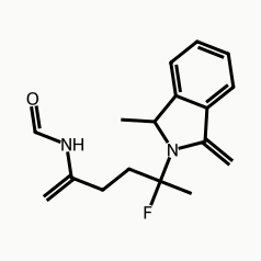 C=C(CCC(C)(F)N1C(=C)c2ccccc2C1C)NC=O